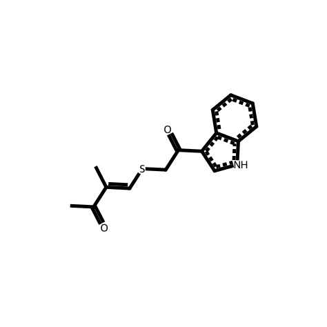 CC(=O)/C(C)=C/SCC(=O)c1c[nH]c2ccccc12